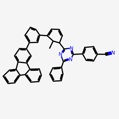 CC1C(c2cccc(-c3ccc4c5ccccc5c5ccccc5c4c3)c2)=CC=CC1c1nc(-c2ccccc2)nc(-c2ccc(C#N)cc2)n1